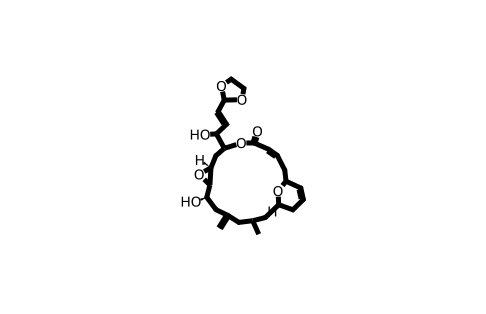 C=C1CC(C)C[C@@H]2CC=CC(C/C=C\C(=O)OC(C(O)/C=C/C3OCCO3)C[C@@H]3OC3[C@@H](O)C1)O2